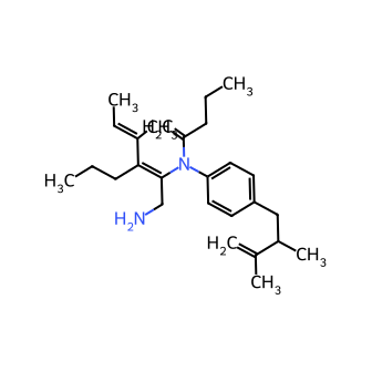 C=C(C)C(C)Cc1ccc(N(C(=C)CCC)/C(CN)=C(CCC)\C(C)=C\C)cc1